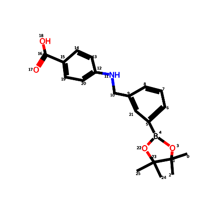 CC1(C)OB(c2cccc(CNc3ccc(C(=O)O)cc3)c2)OC1(C)C